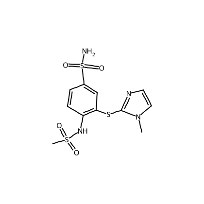 Cn1ccnc1Sc1cc(S(N)(=O)=O)ccc1NS(C)(=O)=O